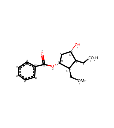 COC[C@@H]1C(CC(=O)O)[C@@H](O)C[C@H]1OC(=O)c1ccccc1